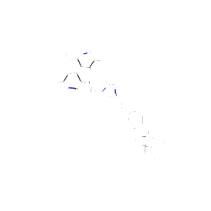 COc1cnc(Cl)c(F)c1-c1cc(C)ncc1C(=O)Nc1nnc(OCC2CCC(O[Si](C)(C)C(C)(C)C)CC2)s1